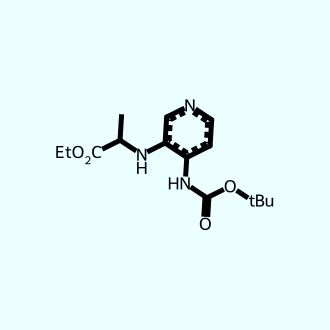 CCOC(=O)C(C)Nc1cnccc1NC(=O)OC(C)(C)C